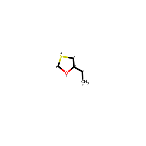 CCC1CSCO1